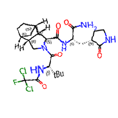 CC(C)(C)[C@H](NC(=O)C(F)(Cl)Cl)C(=O)N1C[C@@H]2[C@@H]3CC[C@@H](C3)[C@@H]2[C@H]1C(=O)N[C@@H](C[C@@H]1CCNC1=O)C(N)=O